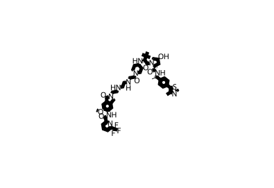 COc1cc2c(cc1NC(=O)c1cccc(C(F)(F)F)n1)CN(CCNCCNCC(=O)N1CCC(N[C@H](C(=O)N3C[C@H](O)C[C@H]3C(=O)N[C@@H](C)c3ccc(-c4scnc4C)cc3)C(C)(C)C)CC1)C2=O